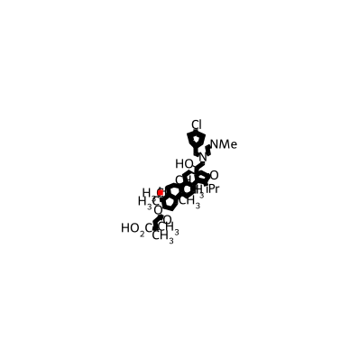 CNCCN(Cc1ccc(Cl)cc1)C[C@@H](O)[C@@]12CC[C@]3(C)[C@H](CCC4[C@@]5(C)CC[C@H](OC(=O)CC(C)(C)C(=O)O)C(C)(C)[C@@H]5CC[C@]43C)C1=C(C(C)C)C(=O)C2